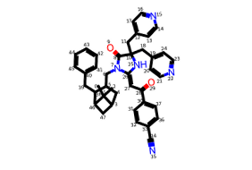 CC1(C)C2CC(CN3C(=O)C(Cc4ccncc4)(Cc4ccncc4)NC3=CC(=O)c3ccc(C#N)cc3)C(Cc3ccccc3)C1C2